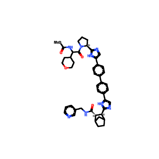 COC(=O)NC(C(=O)N1CCC[C@H]1c1ncc(-c2ccc(-c3ccc(-c4cnc([C@H]5C6CCC(C6)[C@@H]5C(=O)NCc5cccnc5)[nH]4)cc3)cc2)[nH]1)C1CCOCC1